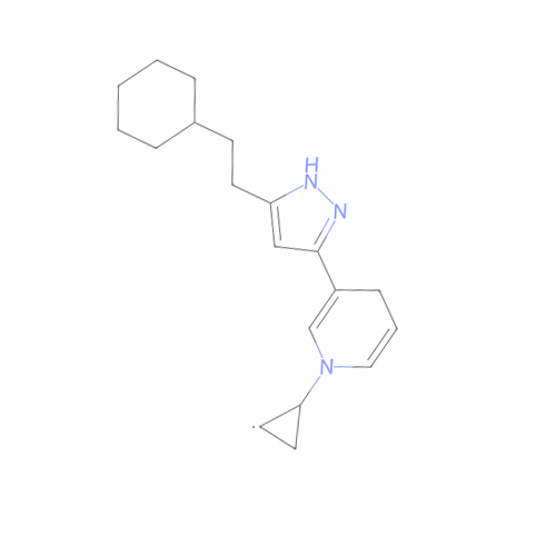 [CH]1CC1N1C=CCC(c2cc(CCC3CCCCC3)[nH]n2)=C1